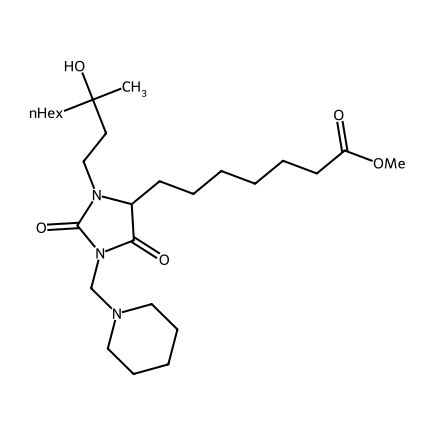 CCCCCCC(C)(O)CCN1C(=O)N(CN2CCCCC2)C(=O)C1CCCCCCC(=O)OC